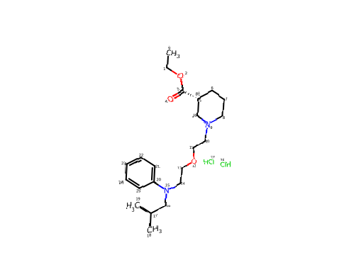 CCOC(=O)[C@@H]1CCCN(CCOCCN(CC(C)C)c2ccccc2)C1.Cl.Cl